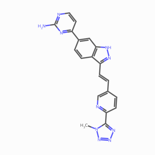 Cn1nnnc1-c1ccc(C=Cc2n[nH]c3cc(-c4ccnc(N)n4)ccc23)cn1